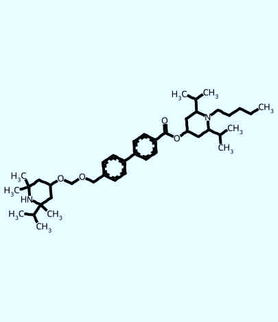 CCCCCN1C(C(C)C)CC(OC(=O)c2ccc(-c3ccc(COCOC4CC(C)(C)NC(C)(C(C)C)C4)cc3)cc2)CC1C(C)C